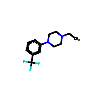 CCN1CCN(c2cc[c]c(C(F)(F)F)c2)CC1